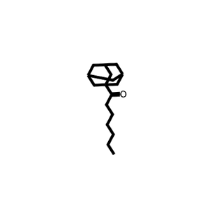 CCCCCCC(=O)C12CC3CC(CC(C3)C1)C2